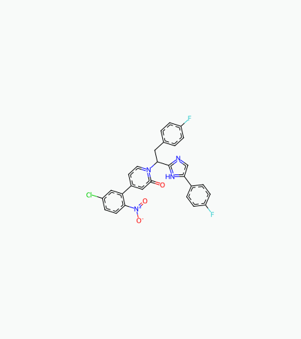 O=c1cc(-c2cc(Cl)ccc2[N+](=O)[O-])ccn1C(Cc1ccc(F)cc1)c1ncc(-c2ccc(F)cc2)[nH]1